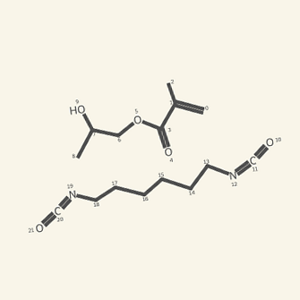 C=C(C)C(=O)OCC(C)O.O=C=NCCCCCCN=C=O